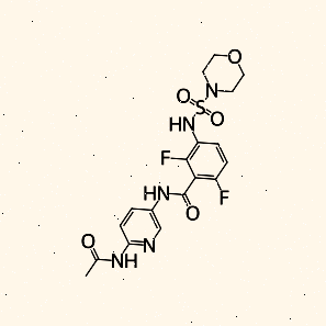 CC(=O)Nc1ccc(NC(=O)c2c(F)ccc(NS(=O)(=O)N3CCOCC3)c2F)cn1